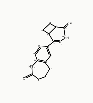 O=C1CCCc2cc(C3=NNC(=O)C4CCC34)ccc2N1